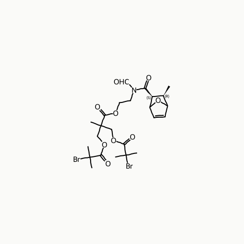 C[C@H]1C2C=CC(O2)[C@H]1C(=O)N(C=O)CCOC(=O)C(C)(COC(=O)C(C)(C)Br)COC(=O)C(C)(C)Br